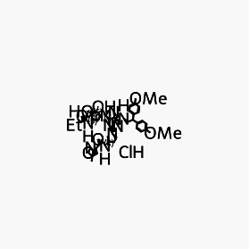 CCC(=O)N[C@H]1C[C@@H](n2cnc3c(NCC(c4ccc(OC)cc4)c4ccc(OC)cc4)nc(N4CC[C@@H](NC(=O)c5cc(C)on5)C4)nc32)[C@H](O)[C@@H]1O.Cl